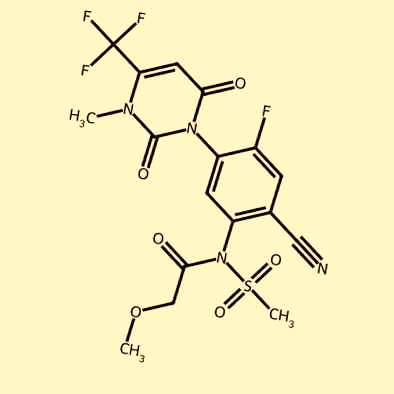 COCC(=O)N(c1cc(-n2c(=O)cc(C(F)(F)F)n(C)c2=O)c(F)cc1C#N)S(C)(=O)=O